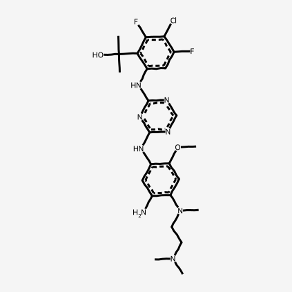 COc1cc(N(C)CCN(C)C)c(N)cc1Nc1ncnc(Nc2cc(F)c(Cl)c(F)c2C(C)(C)O)n1